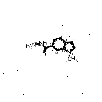 Cn1ccc2ccc(C(=O)NN)cc21